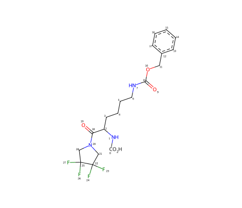 O=C(O)NC(CCCCNC(=O)OCc1ccccc1)C(=O)N1CC(F)(F)C(F)(F)C1